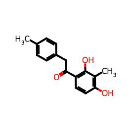 Cc1ccc(CC(=O)c2ccc(O)c(C)c2O)cc1